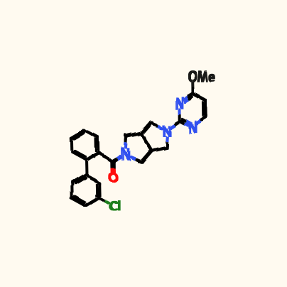 COc1ccnc(N2CC3CN(C(=O)c4ccccc4-c4cccc(Cl)c4)CC3C2)n1